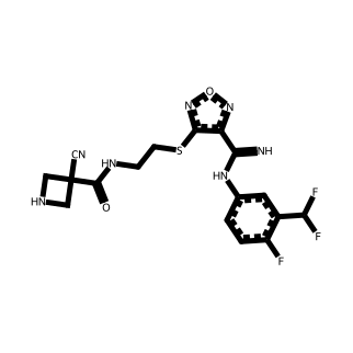 N#CC1(C(=O)NCCSc2nonc2C(=N)Nc2ccc(F)c(C(F)F)c2)CNC1